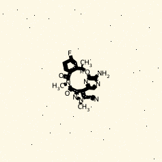 C[C@H]1Oc2nc(cnc2N)-c2c(nn(C)c2C#N)C(=O)N(C)C(=O)c2ccc(F)cc21